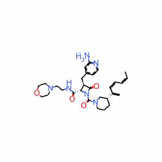 C=C(/C=C\C=C/C)[C@@H]1CCCN(C(=O)N2C(=O)[C@H](Cc3ccnc(N)c3)[C@H]2C(=O)NCCN2CCOCC2)C1